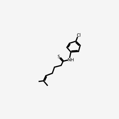 CC(C)=CCCCC(=S)Nc1ccc(Cl)cc1